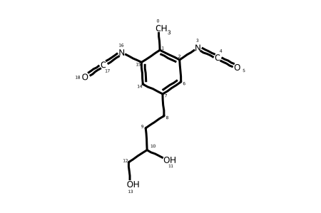 Cc1c(N=C=O)cc(CCC(O)CO)cc1N=C=O